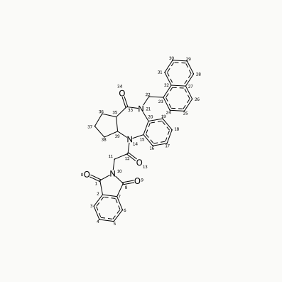 O=C1c2ccccc2C(=O)N1CC(=O)N1c2ccccc2N(Cc2cccc3ccccc23)C(=O)C2CCCC21